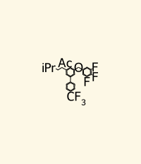 CC(=O)C(CC(C)C)c1cc(Oc2cc(F)c(F)c(F)c2)cc(-c2ccc(C(F)(F)F)cc2)c1